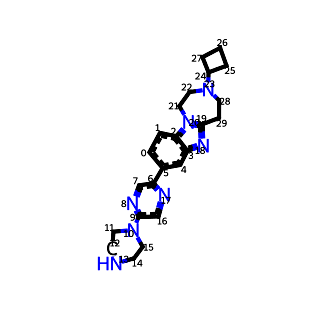 c1cc2c(cc1-c1cnc(N3CCNCC3)cn1)nc1n2CCN(C2CCC2)CC1